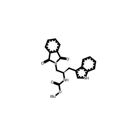 CC(C)(C)OC(=O)N[C@H](Cc1c[nH]c2ccccc12)CN1C(=O)c2ccccc2C1=O